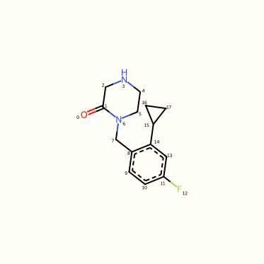 O=C1CNCCN1Cc1ccc(F)cc1C1CC1